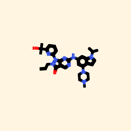 C=CCn1c(=O)c2cnc(Nc3cc(N4CCN(C)CC4)c4ccn(C(C)C)c4c3)nc2n1-c1cccc(C(C)(C)O)n1